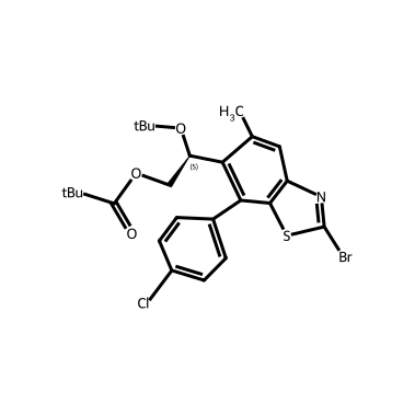 Cc1cc2nc(Br)sc2c(-c2ccc(Cl)cc2)c1[C@@H](COC(=O)C(C)(C)C)OC(C)(C)C